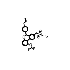 C=CCc1ccc(C2Oc3cccc(OC(F)F)c3-c3ccc(CS(N)(=O)=O)cc32)cc1